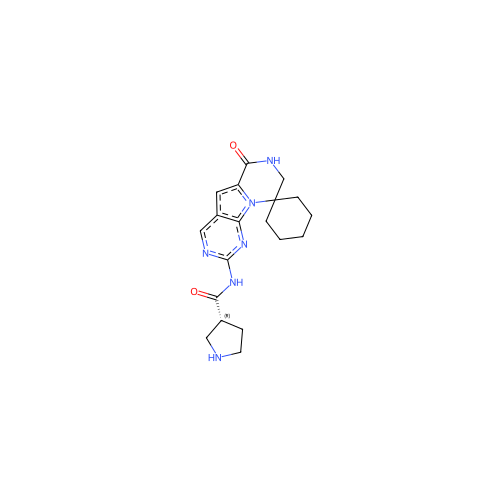 O=C1NCC2(CCCCC2)n2c1cc1cnc(NC(=O)[C@@H]3CCNC3)nc12